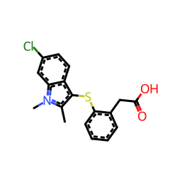 Cc1c(Sc2ccccc2CC(=O)O)c2ccc(Cl)cc2n1C